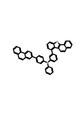 c1ccc(N(c2ccc(-c3ccc4c(ccc5ccccc54)c3)cc2)c2cccc(-c3cccc4oc5c6ccccc6ccc5c34)c2)cc1